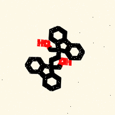 OCC1(CCC2(CO)C3CCCCC3C3CCCCC32)C2CCCCC2C2CCCCC21